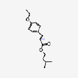 CCOc1ccc(/C=C/C(=O)OCCC(C)C)cc1